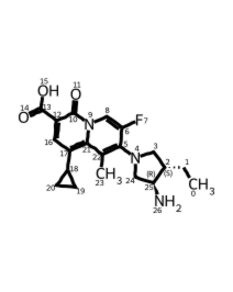 CC[C@H]1CN(c2c(F)cn3c(=O)c(C(=O)O)cc(C4CC4)c3c2C)C[C@@H]1N